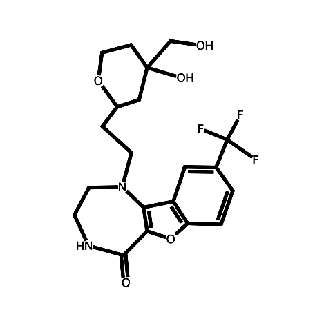 O=C1NCCN(CCC2CC(O)(CO)CCO2)c2c1oc1ccc(C(F)(F)F)cc21